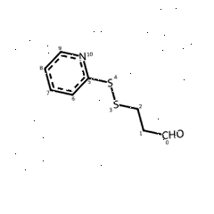 O=CCCSSc1ccccn1